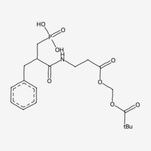 CC(C)(C)C(=O)OCOC(=O)CCNC(=O)C(Cc1ccccc1)CP(=O)(O)O